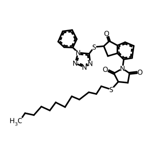 CCCCCCCCCCCCSC1CC(=O)N(c2cccc3c2CC(Sc2nnnn2-c2ccccc2)C3=O)C1=O